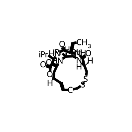 C/C=C1\NC(=O)[C@H]2CSSCC/C=C/[C@H](CC(=O)N[C@H](C(C)C)C(O)N2)OC(=O)C(C(C)C)NC1=O